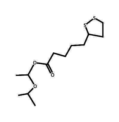 CC(C)OC(C)OC(=O)CCCCC1CCSS1